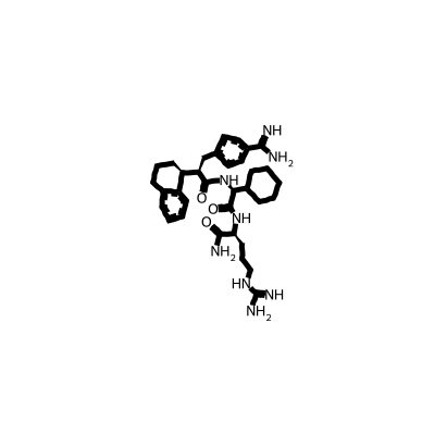 N=C(N)NCCC[C@H](NC(=O)[C@@H](NC(=O)[C@H](Cc1ccc(C(=N)N)cc1)[C@@H]1CCCc2ccccc21)C1CCCCC1)C(N)=O